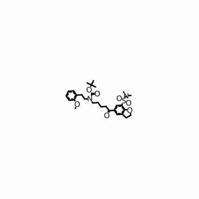 COc1ccccc1CCN(CCCCC(=O)c1cc2c(c(S(=O)(=O)N(C)C)c1)OCC2)C(=O)OC(C)(C)C